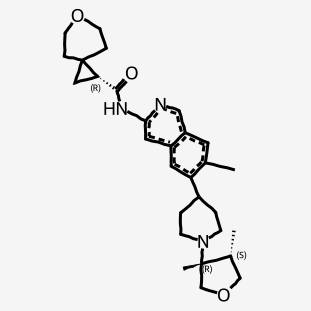 Cc1cc2cnc(NC(=O)[C@@H]3CC34CCOCC4)cc2cc1C1CCN([C@@]2(C)COC[C@H]2C)CC1